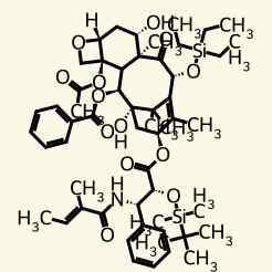 C/C=C(\C)C(=O)N[C@@H](c1ccccc1)[C@@H](O[Si](C)(C)C(C)(C)C)C(=O)O[C@H]1C[C@@]2(O)[C@@H](OC(=O)c3ccccc3)C3[C@](C)(C(=O)[C@H](O[Si](CC)(CC)CC)C(=C1C)C2(C)C)[C@@H](O)C[C@H]1OC[C@@]31OC(C)=O